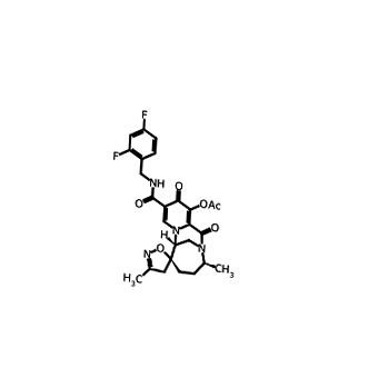 CC(=O)Oc1c2n(cc(C(=O)NCc3ccc(F)cc3F)c1=O)[C@@H]1CN(C2=O)[C@@H](C)CC[C@]12CC(C)=NO2